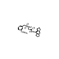 COc1cccc(CS(=O)(=O)NCC(=O)Nc2c3c(cc4c2CCC4)CCC3)c1